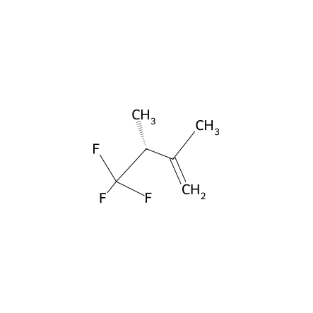 C=C(C)[C@@H](C)C(F)(F)F